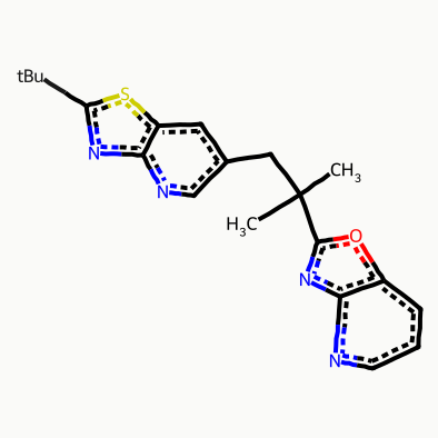 CC(C)(C)c1nc2ncc(CC(C)(C)c3nc4ncccc4o3)cc2s1